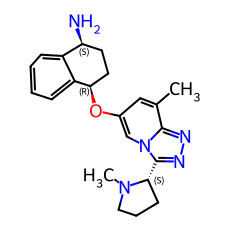 Cc1cc(O[C@@H]2CC[C@H](N)c3ccccc32)cn2c([C@@H]3CCCN3C)nnc12